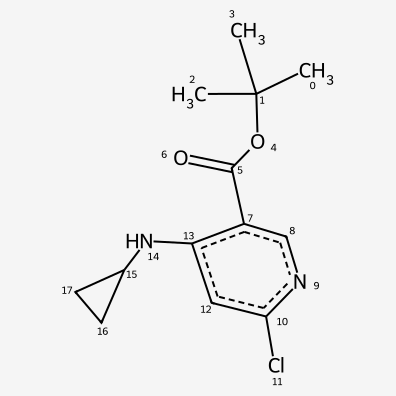 CC(C)(C)OC(=O)c1cnc(Cl)cc1NC1CC1